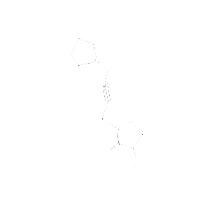 CC(=O)SC1CCN(CC#CCN2CCCC2)C1=O